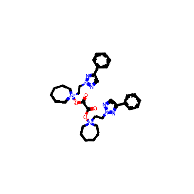 O=C(O[N+]1(CCn2ncc(-c3ccccc3)n2)CCCCCC1)C(=O)O[N+]1(CCn2ncc(-c3ccccc3)n2)CCCCCC1